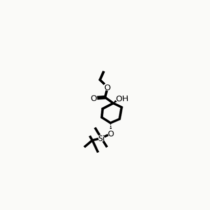 CCOC(=O)[C@]1(O)CC[C@H](O[Si](C)(C)C(C)(C)C)CC1